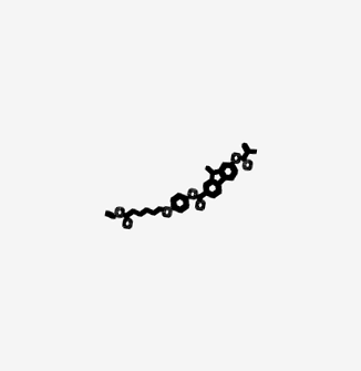 C=COC(=O)CCCCCOc1ccc(OC(=O)c2ccc3c(c2)C(C)c2cc(OC(=O)C(=C)C)ccc2-3)cc1